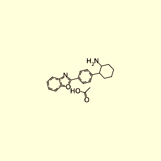 CC(=O)O.NC1CCCCC1c1ccc(-c2nc3ccccc3o2)cc1